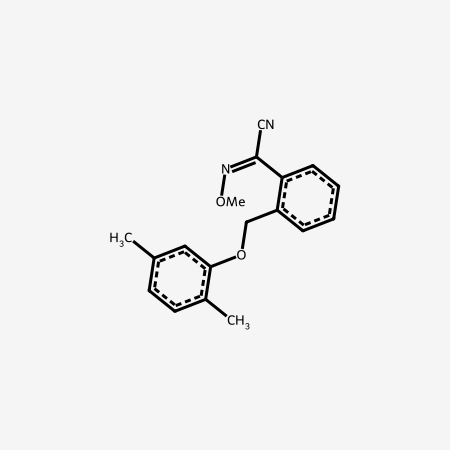 CO/N=C(/C#N)c1ccccc1COc1cc(C)ccc1C